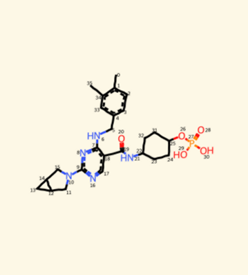 Cc1ccc(CNc2nc(N3CC4CC4C3)ncc2C(=O)NC2CCC(OP(=O)(O)O)CC2)cc1C